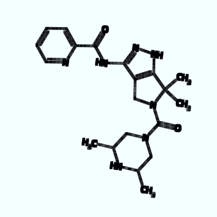 CC1CN(C(=O)N2Cc3c(NC(=O)c4ccccn4)n[nH]c3C2(C)C)CC(C)N1